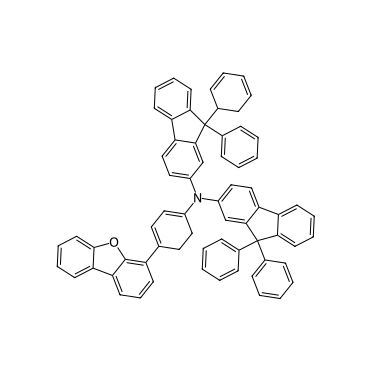 C1=CCC(C2(c3ccccc3)c3ccccc3-c3ccc(N(C4=CC=C(c5cccc6c5oc5ccccc56)CC4)c4ccc5c(c4)C(c4ccccc4)(c4ccccc4)c4ccccc4-5)cc32)C=C1